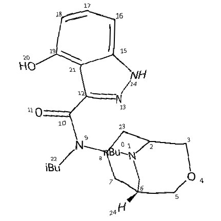 CCCCN1C2COC[C@@H]1CC(N(C(=O)c1n[nH]c3cccc(O)c13)C(C)CC)C2